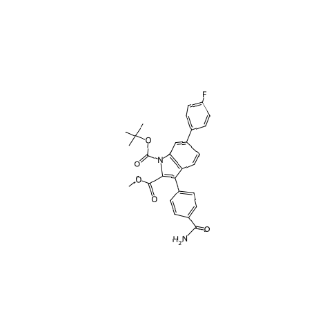 COC(=O)c1c(-c2ccc(C(N)=O)cc2)c2ccc(-c3ccc(F)cc3)cc2n1C(=O)OC(C)(C)C